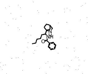 CCCCCC(NC(=O)c1ccccc1)C12CCC(CN1)C2